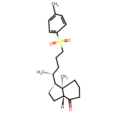 Cc1ccc(S(=O)(=O)CCC[C@@H](C)[C@H]2CC[C@H]3C(=O)CCC[C@]23C)cc1